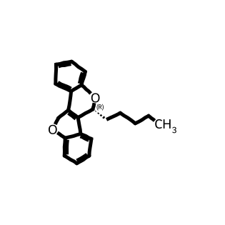 CCCCC[C@H]1Oc2ccccc2C2=C1c1ccccc1OC2